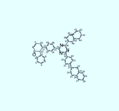 C1=CC2Oc3ccccc3C2C(c2ccc(-c3nc(-c4ccc(-c5ccc6ccccc6c5)cc4)nc(-c4ccc5ccccc5c4)n3)cc2)=C1